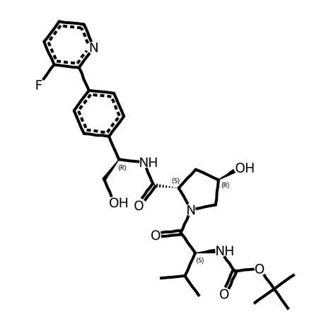 CC(C)[C@H](NC(=O)OC(C)(C)C)C(=O)N1C[C@H](O)C[C@H]1C(=O)N[C@@H](CO)c1ccc(-c2ncccc2F)cc1